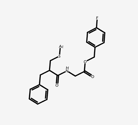 CC(=O)SCC(Cc1ccccc1)C(=O)NCC(=O)OCc1ccc(F)cc1